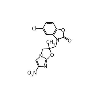 CC1(Cn2c(=O)oc3ccc(Cl)cc32)Cn2cc([N+](=O)[O-])nc2O1